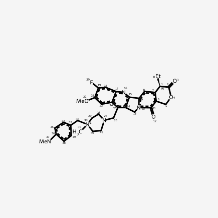 CC[C@H]1C(=O)OCc2c1cc1n(c2=O)Cc2c-1nc1cc(F)c(OC)cc1c2CN1CC[N+](C)(Cc2ccc(NC)cc2)CC1